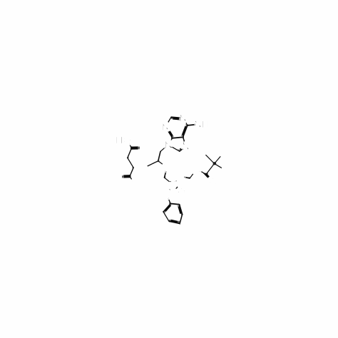 CC(Cn1cnc2c(N)ncnc21)OCP(=O)(OCOC(=O)C(C)(C)C)Oc1ccccc1.O=C(O)CCC(=O)O